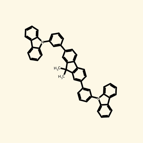 CC1(C)c2cc(-c3cccc(-n4c5ccccc5c5ccccc54)c3)ccc2-c2ccc(-c3cccc(-n4c5ccccc5c5ccccc54)c3)cc21